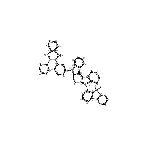 CC1(C)c2ccccc2-c2cccc(-n3c4ccccc4c4c5c6ccccc6n(-c6cccc(-c7nc8ccccc8nc7-c7ccccc7)c6)c5ccc43)c21